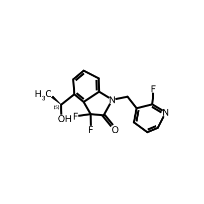 C[C@H](O)c1cccc2c1C(F)(F)C(=O)N2Cc1cccnc1F